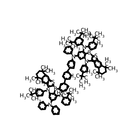 CC(C)(C)c1ccc(N2c3cc(N(c4ccccc4)c4ccc(-c5ccc(-c6ccc7c(c6)B6c8sc9cc%10c(cc9c8N(c8ccc(C(C)(C)C)cc8)c8cc(N(c9ccccc9)c9ccccc9)cc(c86)N7c6ccccc6C(C)(C)C)C(C)(C)CCC%10(C)C)cc5)cc4)cc4c3B(c3ccc(C(C)(C)C)cc3N4c3cc(C(C)(C)C)cc(C(C)(C)C)c3)c3sc4cc5c(cc4c32)C(C)(C)CCC5(C)C)cc1